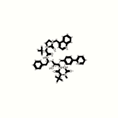 CN(C(=O)O)[C@H](C(=O)N[C@@H](Cc1ccc(-c2ccccn2)cc1)[C@@H](O)C[C@H](Cc1ccccc1)NC(=O)[C@@H](N1CCN(Cc2ccnc3ccccc23)C1=O)C(C)(C)C)C(C)(C)C